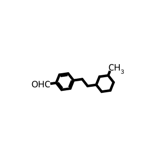 CC1CCCC(CCc2ccc(C=O)cc2)C1